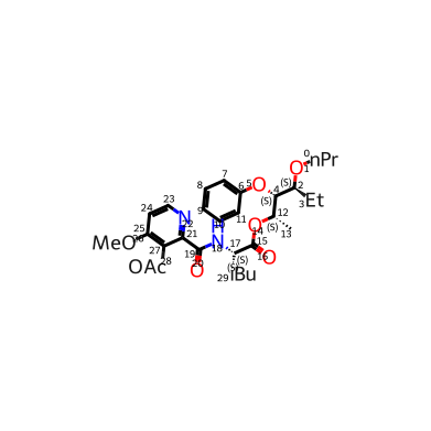 CCCO[C@@H](CC)[C@@H](Oc1ccccc1)[C@H](C)OC(=O)[C@@H](NC(=O)c1nccc(OC)c1OC(C)=O)[C@@H](C)CC